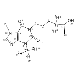 [2H]C([2H])(CCCn1c(=O)c2c(ncn2C)n(C([2H])([2H])[2H])c1=O)[C@H](C)O